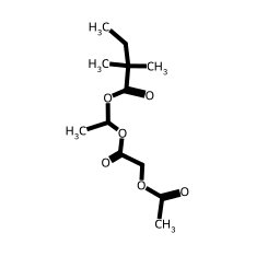 CCC(C)(C)C(=O)OC(C)OC(=O)COC(C)=O